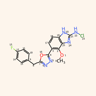 COc1c(-c2nnc(Cc3ccc(F)cc3)o2)ccc2[nH]c(NCl)nc12